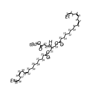 CC/C=C\C/C=C\C/C=C\CCCCCCCC(=O)OCC(COC(=O)CCCCCCC/C=C\C/C=C\C/C=C\CC)NCCC(=O)OC(C)(C)C